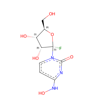 O=c1nc(NO)ccn1[C@]1(F)O[C@H](CO)[C@@H](O)[C@H]1O